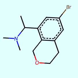 CC(c1cc(Br)cc2c1COCC2)N(C)C